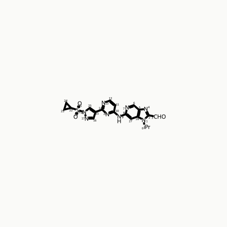 CC(C)n1c(C=O)nc2cnc(Nc3ccnc(-c4cnn(S(=O)(=O)C5CC5)c4)n3)cc21